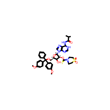 COc1ccc(C(OC[C@H]2O[C@@H](n3cnc4c3N=CNC4NC(=O)C(C)C)[C@@H](OC(=S)N3CCS(=O)(=O)CC3)C2O)(c2ccccc2)c2ccc(OC)cc2)cc1